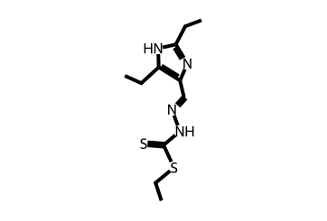 CCSC(=S)NN=Cc1nc(CC)[nH]c1CC